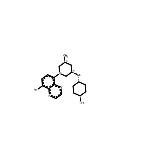 C[C@H]1C[C@@H](N[C@H]2CC[C@H](O)CC2)CN(c2ccc(C#N)c3nccnc23)C1